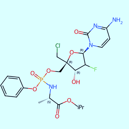 CC(C)OC(=O)[C@H](C)NP(=O)(OC[C@@]1(CCl)O[C@@H](n2ccc(N)nc2=O)C(F)[C@@H]1O)Oc1ccccc1